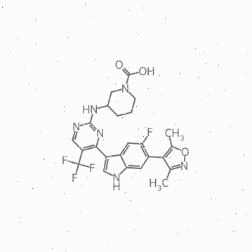 Cc1noc(C)c1-c1cc2[nH]cc(-c3nc(NC4CCCN(C(=O)O)C4)ncc3C(F)(F)F)c2cc1F